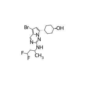 CC(CC(F)F)Nc1ncc2c(Br)cc([C@H]3CC[C@H](O)CC3)n2n1